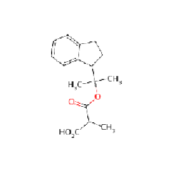 CC(C(=O)O)C(=O)OC(C)(C)C1CCc2ccccc21